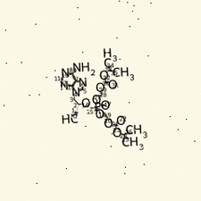 C#C[C@H](Cn1cnc2c(N)ncnc21)OCP(=O)(OCOC(=O)OC(C)C)OCOC(=O)OC(C)C